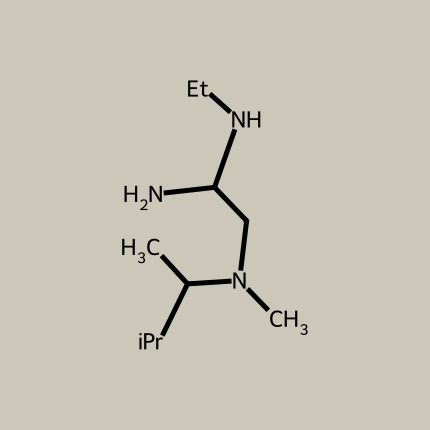 CCNC(N)CN(C)C(C)C(C)C